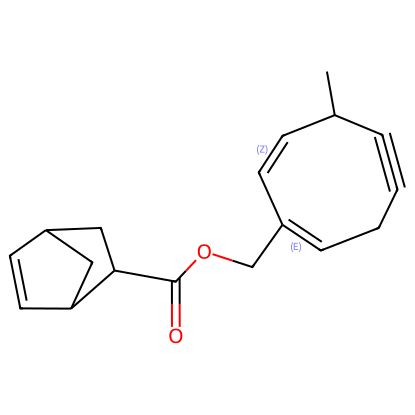 CC1C#CC/C=C(COC(=O)C2CC3C=CC2C3)\C=C/1